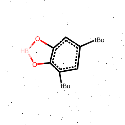 CC(C)(C)c1cc2c(c(C(C)(C)C)c1)OBO2